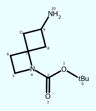 CC(C)(C)OC(=O)N1CCC12CC(N)C2